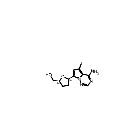 Nc1ncnn2c([C@H]3CC[C@@H](CO)O3)cc(I)c12